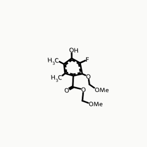 COCOC(=O)c1c(C)c(C)c(O)c(F)c1OCOC